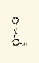 Oc1cccc(/C=N/OCc2ccccc2)c1